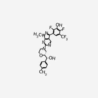 Cc1ccc([C@@H](O)[C@H]2CN(c3ncc4c(-c5cc(C(F)(F)F)c(F)c(O)c5F)nn(C)c4n3)CCO2)cc1